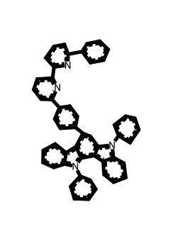 c1ccc(-c2cccc(-c3cccc(-c4ccc(-c5cc6c(c7ccccc7n6-c6ccccc6)c6c5c5ccccc5n6-c5ccccc5)cc4)n3)n2)cc1